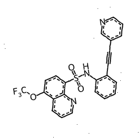 O=S(=O)(Nc1ccccc1C#Cc1cccnc1)c1ccc(OC(F)(F)F)c2cccnc12